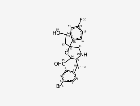 C[C@H](c1ccc(Br)cc1)C1NCC(CCO)(c2ccc(F)cc2)OC1C=O